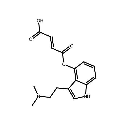 CN(C)CCc1c[nH]c2cccc(OC(=O)/C=C/C(=O)O)c12